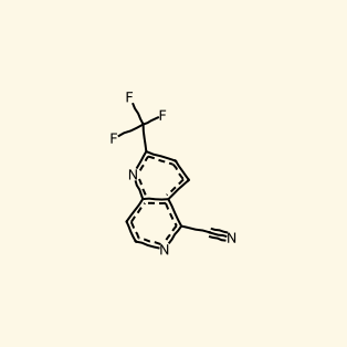 N#Cc1nccc2nc(C(F)(F)F)ccc12